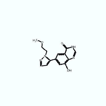 COCCn1nccc1-c1cc(O)c2nc[nH]c(=O)c2c1